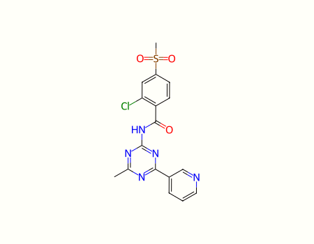 Cc1nc(NC(=O)c2ccc(S(C)(=O)=O)cc2Cl)nc(-c2cccnc2)n1